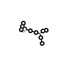 CC(Cc1c2ccccc2cc2ccccc12)c1ccc(-c2ccc(N(c3ccc(-c4ccccc4)cc3)c3ccc4ccccc4c3)cc2)cc1